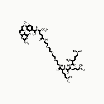 CC(=O)N(O)CCCC(N)C(=O)N[C@@H](CCCN(O)C(C)=O)C(=O)NC(CCCN(O)C(C)=O)C(=O)NCCOCCOCCOCCNC(=O)CC[C@@H](NC(=O)c1ccc(N(C)Cc2cnc3nc(N)nc(N)c3n2)cc1)C(=O)O